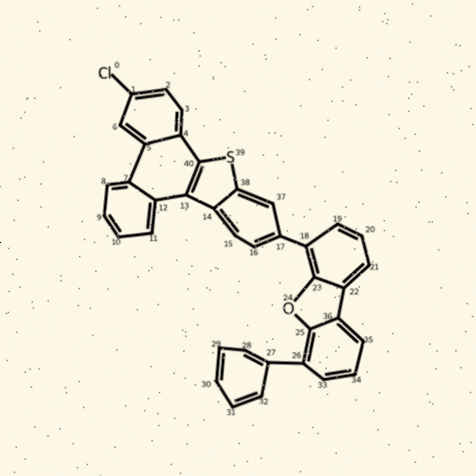 Clc1ccc2c(c1)c1ccccc1c1c3ccc(-c4cccc5c4oc4c(-c6ccccc6)cccc45)cc3sc21